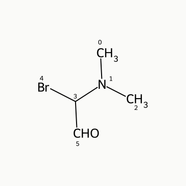 CN(C)C(Br)C=O